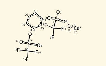 O=S(=O)([O-])C(F)(F)F.O=S(=O)([O-])C(F)(F)F.[Cu+].[Cu+].c1ccccc1